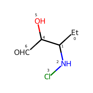 CCC(NCl)C(O)C=O